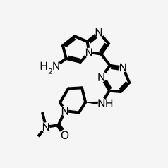 CN(C)C(=O)N1CCC[C@@H](Nc2ccnc(-c3cnc4ccc(N)cn34)n2)C1